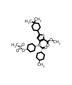 COC(=O)c1sc(C2CCC(C)(C)CC2)cc1N(C(=O)[C@H]1CC[C@H](C)CC1)[C@H]1CC[C@@H](OS(C)(=O)=O)CC1